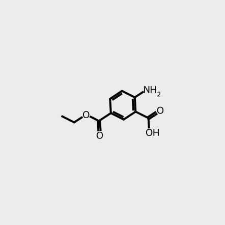 CCOC(=O)c1ccc(N)c(C(=O)O)c1